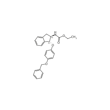 CCOC(=O)N[C@@H]1Cc2ccccc2[C@H]1Oc1ccc(OCc2ccccc2)cc1